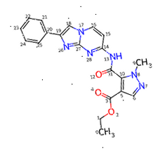 CCOC(=O)c1cnn(C)c1C(=O)Nc1ccn2cc(-c3ccccc3)nc2n1